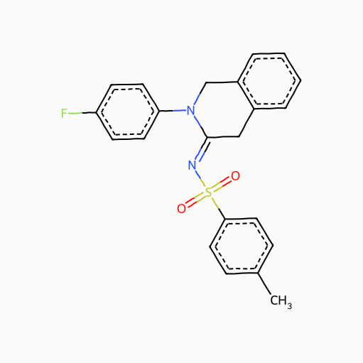 Cc1ccc(S(=O)(=O)N=C2Cc3ccccc3CN2c2ccc(F)cc2)cc1